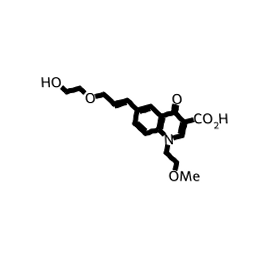 COCCn1cc(C(=O)O)c(=O)c2cc(/C=C/COCCO)ccc21